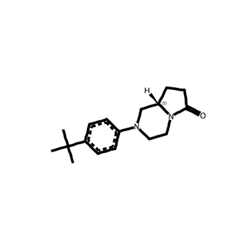 CC(C)(C)c1ccc(N2CCN3C(=O)CC[C@H]3C2)cc1